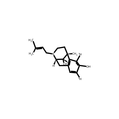 [3H]c1cc2c(c([3H])c1O)[C@@]1(C)CCN(CC=C(C)C)[C@@H](C2)[C@H]1C